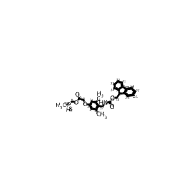 Cc1cc(OCC(=O)OC[PH](C)=S)cc(C)c1CNC(=O)OCC1c2ccccc2-c2ccccc21